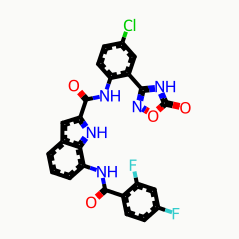 O=C(Nc1ccc(Cl)cc1-c1noc(=O)[nH]1)c1cc2cccc(NC(=O)c3ccc(F)cc3F)c2[nH]1